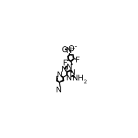 N#Cc1ccnc(-c2nc(N)nc3c2ncn3Cc2c(F)cc([N+](=O)[O-])cc2F)c1